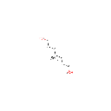 OCCCCCCCO.[SrH2]